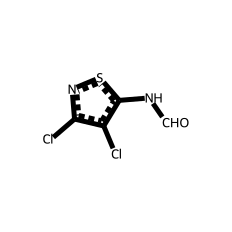 O=CNc1snc(Cl)c1Cl